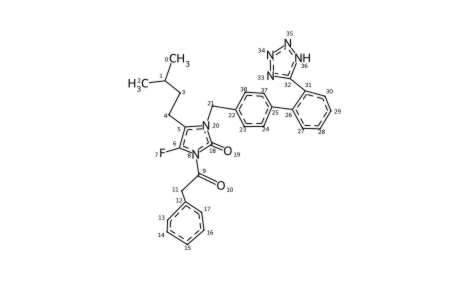 CC(C)CCc1c(F)n(C(=O)Cc2ccccc2)c(=O)n1Cc1ccc(-c2ccccc2-c2nnn[nH]2)cc1